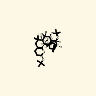 C=C1C(=O)[C@@]23[C@@H]4OC(C)(C)O[C@]25OC[C@]2(C6=C(CC[C@H](OC(C)(C)C)O6)CC(C)(C)[C@H]2[C@@H]5O)[C@@H]3CC[C@@H]14